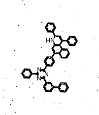 C1=CCC2C(=C1)C1=C(C=C2c2ccc(-c3nc(-c4ccccc4)nc(-c4cccc(-c5ccccc5)c4)n3)cc2)NC(c2ccccc2)C=C1c1ccccc1